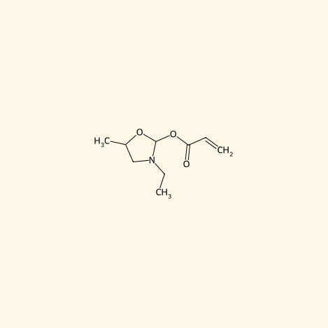 C=CC(=O)OC1OC(C)CN1CC